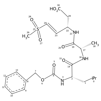 CC(C)C[C@H](NC(=O)OCc1ccccc1)C(=O)N[C@@H](C)C(=O)N[C@H](/C=C/S(C)(=O)=O)CC(=O)O